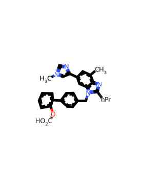 CCCc1nc2c(C)cc(-c3cn(C)cn3)cc2n1Cc1ccc(-c2ccccc2OC(=O)O)cc1